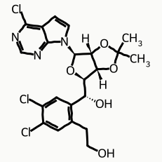 CC1(C)O[C@H]2[C@@H](O1)[C@H](n1ccc3c(Cl)ncnc31)O[C@@H]2[C@H](O)c1cc(Cl)c(Cl)cc1CCO